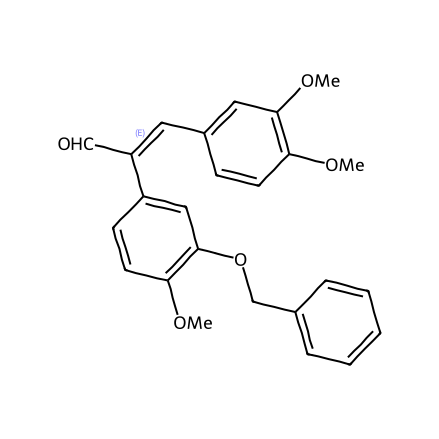 COc1ccc(/C=C(/C=O)c2ccc(OC)c(OCc3ccccc3)c2)cc1OC